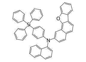 c1ccc([Si](c2ccccc2)(c2ccccc2)c2ccc(N(c3ccc4ccc5c6ccccc6oc5c4c3)c3cccc4ccccc34)cc2)cc1